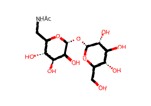 CC(=O)NCC1O[C@H](O[C@H]2OC(CO)[C@@H](O)C(O)[C@H]2O)C(O)[C@@H](O)[C@@H]1O